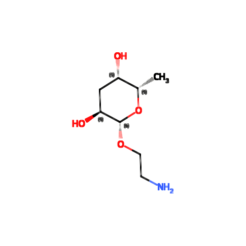 C[C@@H]1O[C@H](OCCN)[C@@H](O)C[C@@H]1O